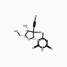 Cc1cc(=O)[nH]c(=O)n1[C@@H]1O[C@H](CO)[C@H](O)C1(N)C#CCl